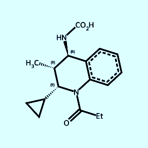 CCC(=O)N1c2ccccc2[C@H](NC(=O)O)[C@@H](C)[C@H]1C1CC1